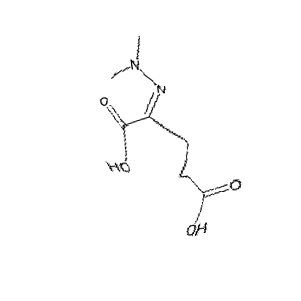 CN(C)N=C(CCC(=O)O)C(=O)O